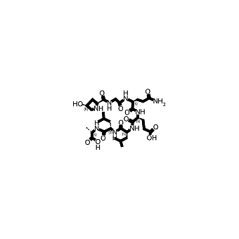 CC(C)C[C@H](NC(=O)[C@H](CC(C)C)NC(=O)[C@H](CCC(=O)O)NC(=O)[C@H](CCC(N)=O)NC(=O)CNC(=O)[C@@H]1C[C@@H](O)CN1)C(=O)N[C@@H](C)C(=O)O